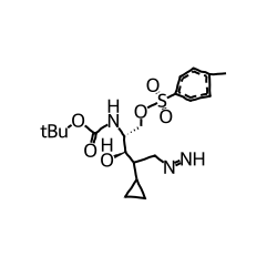 Cc1ccc(S(=O)(=O)OC[C@@H](NC(=O)OC(C)(C)C)[C@H](O)C(CN=N)C2CC2)cc1